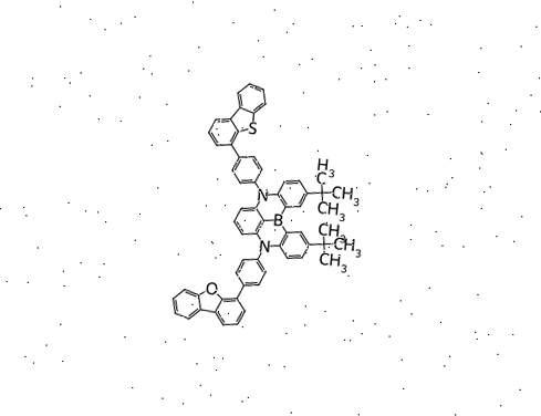 CC(C)(C)c1ccc2c(c1)B1c3cc(C(C)(C)C)ccc3N(c3ccc(-c4cccc5c4sc4ccccc45)cc3)c3cccc(c31)N2c1ccc(-c2cccc3c2oc2ccccc23)cc1